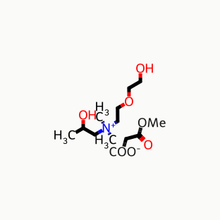 CC(O)C[N+](C)(C)CCOCCO.COC(=O)CC(=O)[O-]